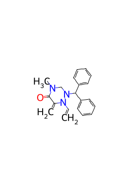 C=CN1C(=C)C(=O)N(C)CN1C(c1ccccc1)c1ccccc1